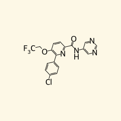 O=C(Nc1cncnc1)c1ccc(OCC(F)(F)F)c(-c2ccc(Cl)cc2)n1